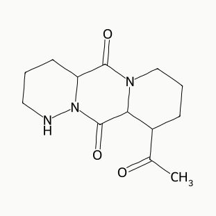 CC(=O)C1CCCN2C(=O)C3CCCNN3C(=O)C12